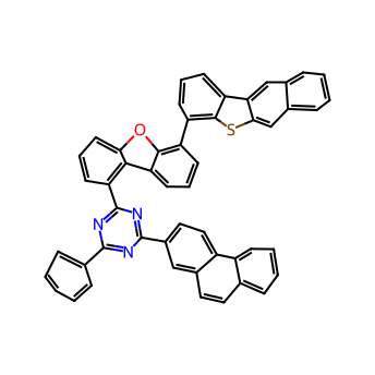 c1ccc(-c2nc(-c3ccc4c(ccc5ccccc54)c3)nc(-c3cccc4oc5c(-c6cccc7c6sc6cc8ccccc8cc67)cccc5c34)n2)cc1